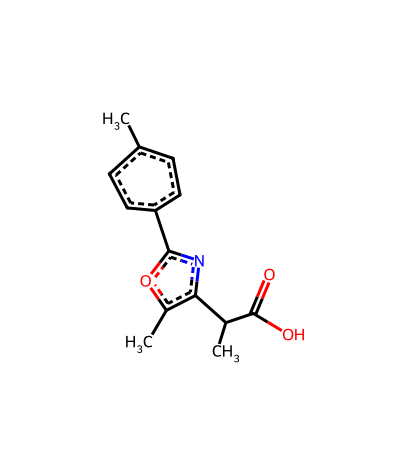 Cc1ccc(-c2nc(C(C)C(=O)O)c(C)o2)cc1